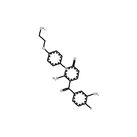 C[CH]COc1ccc(-n2c(N)c(C(=O)c3ccc(F)c(C)c3)ccc2=O)cc1